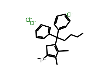 CCCCC(C1=C(C)C(C)=[C]([Ti+3])C1)(c1ccccc1)c1ccccc1.[Cl-].[Cl-].[Cl-]